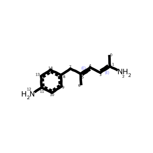 C/C(N)=C\C=C(/C)Cc1ccc(N)cc1